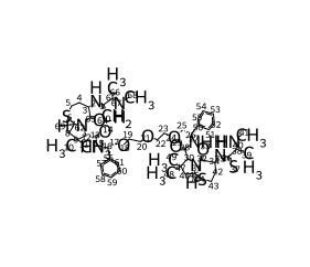 C=C(N[C@H]1CCS[C@H]2CC(C)(C)[C@@H](C(=O)N[C@H](COCCOCCOC[C@@H](NC(=O)[C@H]3N4C(=O)[C@@H](NC(=S)[C@H](C)NC)CCS[C@H]4CC3(C)C)c3ccccc3)c3ccccc3)N2C1=O)[C@H](C)NC